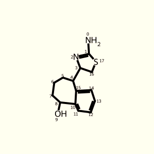 NC1=NC(C2CCCC(O)c3ccccc32)CS1